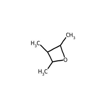 CC1OC(C)C1C